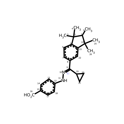 CC1C(C)(C)c2ccc(/C(=N/Nc3ccc(C(=O)O)cc3)C3CC3)cc2C1(C)C